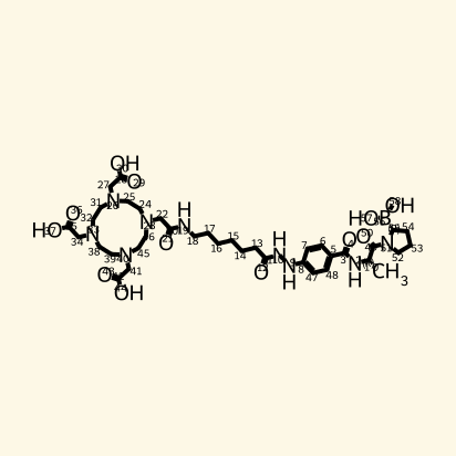 C[C@@H](NC(=O)c1ccc(NNC(=O)CCCCCCNC(=O)CN2CCN(CC(=O)O)CCN(CC(=O)O)CCN(CC(=O)O)CC2)cc1)C(=O)N1CCC[C@H]1B(O)O